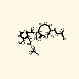 COc1ccnc(C(=O)N[C@H]2CCCC[C@@H](CCC(C)C)[C@H](C)OC2=O)c1OCOC(C)=O